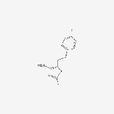 Cc1ccc(CCc2oc(C)nc2C(=O)O)cc1